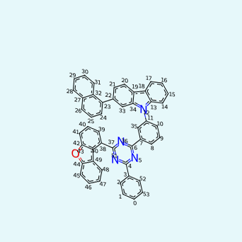 c1ccc(-c2nc(-c3cccc(-n4c5ccccc5c5ccc(-c6cccc7ccccc67)cc54)c3)nc(-c3cccc4oc5ccccc5c34)n2)cc1